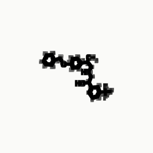 CC(CNCC(O)c1cccc(C(F)(F)F)c1)c1ccc(OCc2ccccc2)cc1